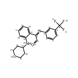 O=C/C(=N\c1cccc(C(F)(F)F)c1)c1ccccc1NC1CCOCC1